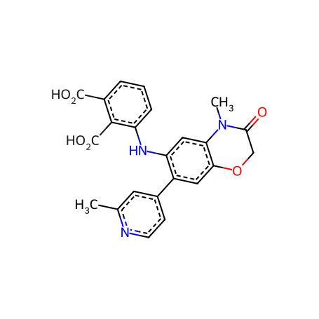 Cc1cc(-c2cc3c(cc2Nc2cccc(C(=O)O)c2C(=O)O)N(C)C(=O)CO3)ccn1